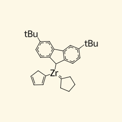 CC(C)(C)c1ccc2c(c1)-c1cc(C(C)(C)C)ccc1[CH]2[Zr]([C]1=CC=CC1)=[C]1CCCC1